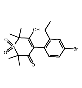 CCc1cc(Br)ccc1C1=C(O)C(C)(C)S(=O)(=O)C(C)(C)C1=O